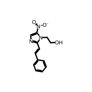 O=[N+]([O-])c1cnc(/C=C/c2ccccc2)n1CCO